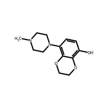 CN1CCN(c2ccc(O)c3c2OCCO3)CC1